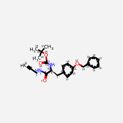 C#CCNC(=O)[C@H](Cc1ccc(OCc2ccccc2)cc1)NC(=O)OC(C)(C)C